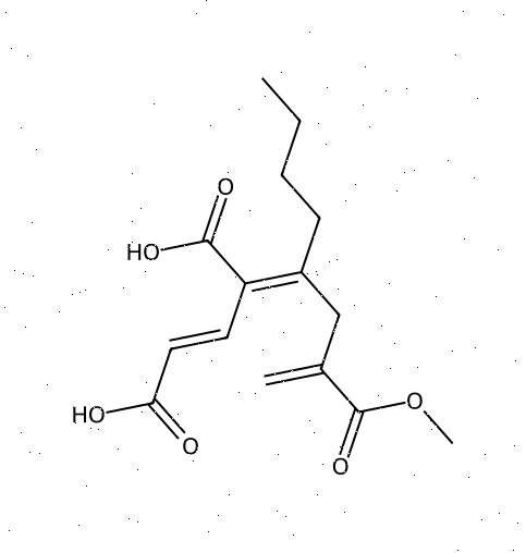 C=C(CC(CCCC)=C(C=CC(=O)O)C(=O)O)C(=O)OC